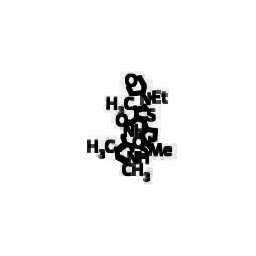 CCN(c1sc(C2CCN(SC)C2)c(C(=O)NCc2c(C)cc(C)[nH]c2=O)c1C)C1CCOCC1